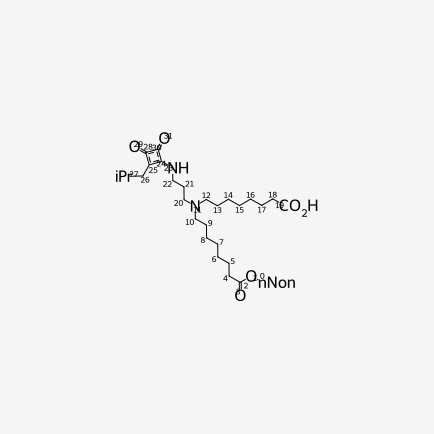 CCCCCCCCCOC(=O)CCCCCCCN(CCCCCCCC(=O)O)CCCNc1c(CC(C)C)c(=O)c1=O